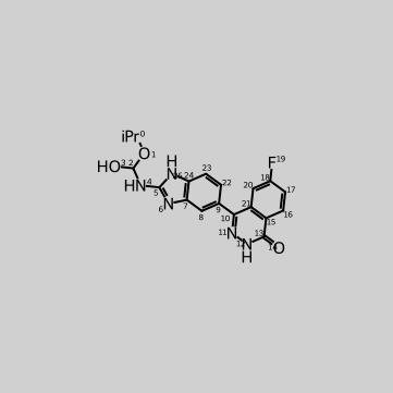 CC(C)OC(O)Nc1nc2cc(-c3n[nH]c(=O)c4ccc(F)cc34)ccc2[nH]1